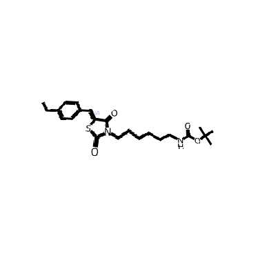 CCc1ccc(/C=C2\SC(=O)N(CCCCCCNC(=O)OC(C)(C)C)C2=O)cc1